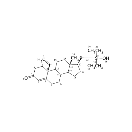 C=C[C@]12CCC(=O)C=C1CCC1C2CC[C@@]2(C)C1CC[C@@H]2CC(C)(C)[Si](C)(C)O